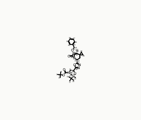 CC(C)(C)OC(=O)NC[C@H](O[Si](C)(C)C(C)(C)C)c1nnc([C@@H]2CC3(CC3)[C@H]3CN2C(=O)N3OCc2ccccc2)o1